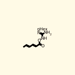 C/C=C/C=C/C(=O)ONC(N)=NCCCCCC